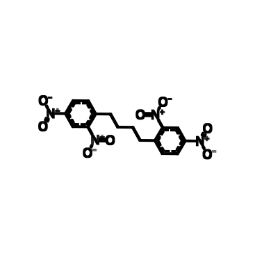 O=[N+]([O-])c1ccc(CCCCc2ccc([N+](=O)[O-])cc2[N+](=O)[O-])c([N+](=O)[O-])c1